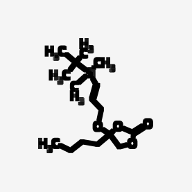 CCCCC1(OC/C=C/[Si](C)(C)C(C)(C)C)COC(=O)O1